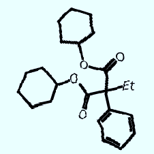 CCC(C(=O)OC1CCCCC1)(C(=O)OC1CCCCC1)c1ccccc1